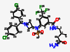 C[C@H](CNC(=O)c1cc(N(C2CN(C(c3ccc(Cl)cc3)c3ccc(Cl)cc3)C2)S(C)(=O)=O)cc(C(F)(F)F)c1)CC(N)=O